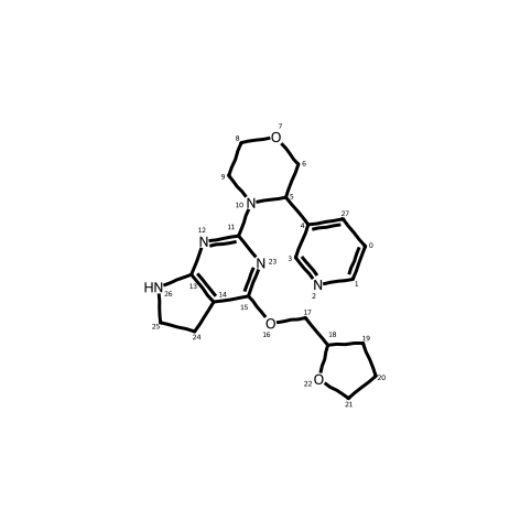 c1cncc(C2COCCN2c2nc3c(c(OCC4CCCO4)n2)CCN3)c1